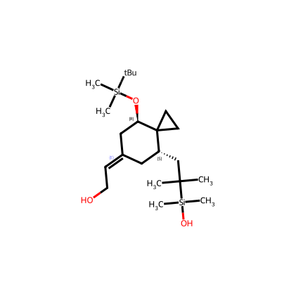 CC(C)(C[C@@H]1C/C(=C\CO)C[C@@H](O[Si](C)(C)C(C)(C)C)C12CC2)[Si](C)(C)O